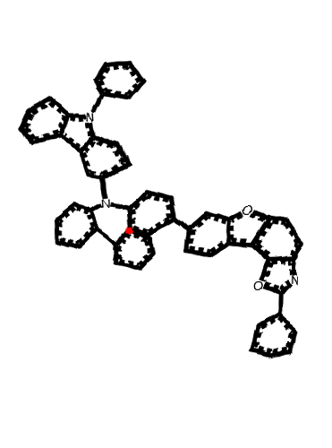 c1ccc(-c2nc3ccc4oc5cc(-c6ccc(N(c7ccc8c(c7)c7ccccc7n8-c7ccccc7)c7ccccc7-c7ccccc7)cc6)ccc5c4c3o2)cc1